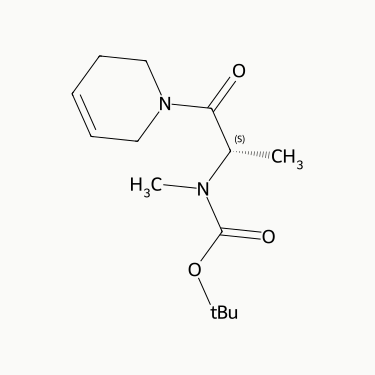 C[C@@H](C(=O)N1CC=CCC1)N(C)C(=O)OC(C)(C)C